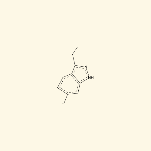 [CH2]c1ccc2c(CC)n[nH]c2c1